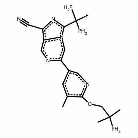 Cc1cc(-c2cn3c(C(F)(P)P)nc(C#N)c3cn2)cnc1OCC(C)(C)P